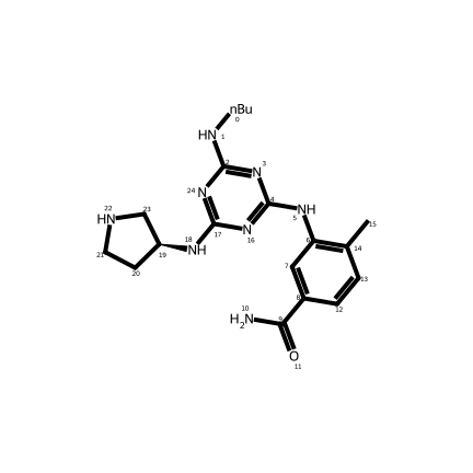 CCCCNc1nc(Nc2cc(C(N)=O)ccc2C)nc(N[C@H]2CCNC2)n1